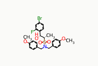 COc1ccc(CN(Cc2ccc(OC)cc2)S(=O)(=O)[C@@H](C)[C@H](O)c2ccc(Br)cc2F)cc1